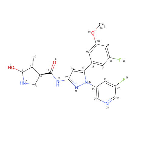 C[C@H]1C(O)NC[C@@H]1C(=O)Nc1cc(-c2cc(F)cc(OC(F)(F)F)c2)n(-c2cncc(F)c2)n1